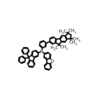 CC1(C)CC(C)(C)c2cc3c(cc21)-c1ccc(-c2cccc(N(c4ccc5c(c4)-c4ccccc4C5(c4ccccc4)c4ccccc4)c4ccc5oc6ccccc6c5c4)c2)cc1C3(C)C